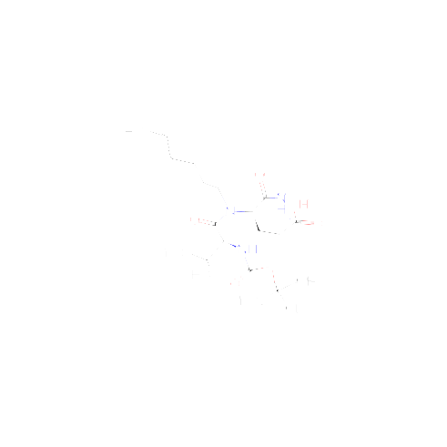 CCCCCCN(C(=O)[C@@H](NC(=O)OC(C)(C)C)C(C)C)[C@H](CCC(=O)O)C(N)=O